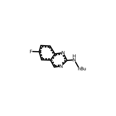 CCCCNc1ncc2cc(F)ccc2n1